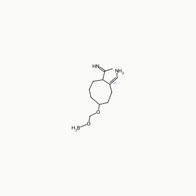 BOCOC1CCCC(C(C)=N)/C(=C\N)CC1